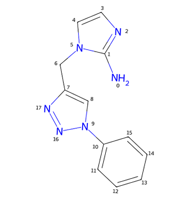 Nc1nccn1Cc1cn(-c2ccccc2)nn1